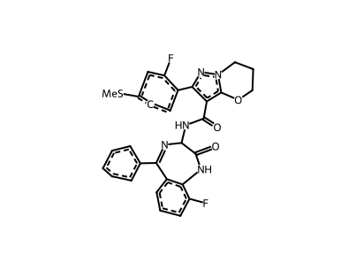 CSc1ccc(-c2nn3c(c2C(=O)NC2N=C(c4ccccc4)c4cccc(F)c4NC2=O)OCCC3)c(F)c1